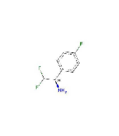 N[C@H](c1ccc(F)cc1)C(F)F